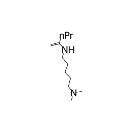 C=C(CCC)NCCCCCN(C)C